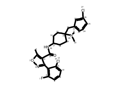 Cc1onc(-c2c(F)cccc2Cl)c1C(=O)NC1CCC(Cc2cccc(Cl)c2)(N(C)C)CC1